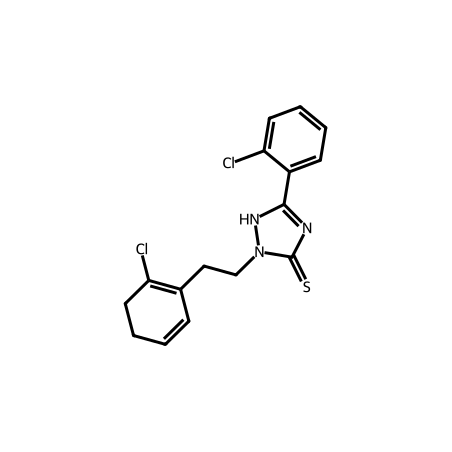 S=c1nc(-c2ccccc2Cl)[nH]n1CCC1=C(Cl)CCC=C1